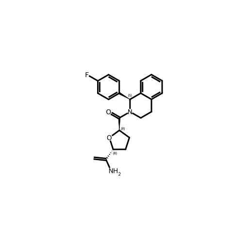 C=C(N)[C@H]1CC[C@H](C(=O)N2CCc3ccccc3[C@@H]2c2ccc(F)cc2)O1